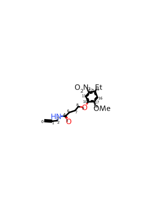 C#CCNC(=O)CCCOc1cc([N+](=O)[O-])c(CC)cc1OC